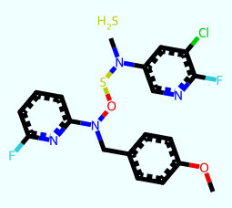 COc1ccc(CN(OSN(C)c2cnc(F)c(Cl)c2)c2cccc(F)n2)cc1.S